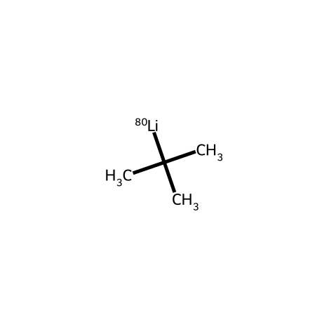 [80Li][C](C)(C)C